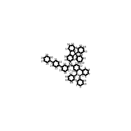 c1ccc(Cc2ccccc2-c2ccc(N(c3cccc(-c4ccc(-c5ccccc5)cc4)c3)c3ccc4c(c3)C(c3ccccc3)(c3ccccc3)c3ccccc3-4)cc2Cc2ccccc2)cc1